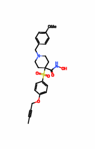 CC#CCOc1ccc(S(=O)(=O)C2(C(=O)NO)CCN(Cc3ccc(OC)cc3)CC2)cc1